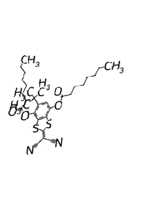 CCCCCCCC(=O)Oc1cc(C(C)(C)C)c(OC(=O)CCCCCCC)c2c1SC(=C(C#N)C#N)S2